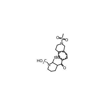 CC(C)(C)C1C(C(=O)c2ccc3c(c2)CCN(S(C)(=O)=O)C3)CCCN1C(=O)O